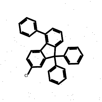 Clc1ccc2c(c1)C(c1ccccc1)(c1ccccc1)c1cccc(-c3ccccc3)c1-2